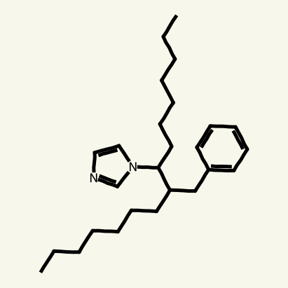 CCCCCCCC(Cc1ccccc1)C(CCCCCCC)n1ccnc1